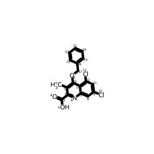 Cc1c(C(=O)O)nc2cc(Cl)cc(Cl)c2c1OCc1ccccc1